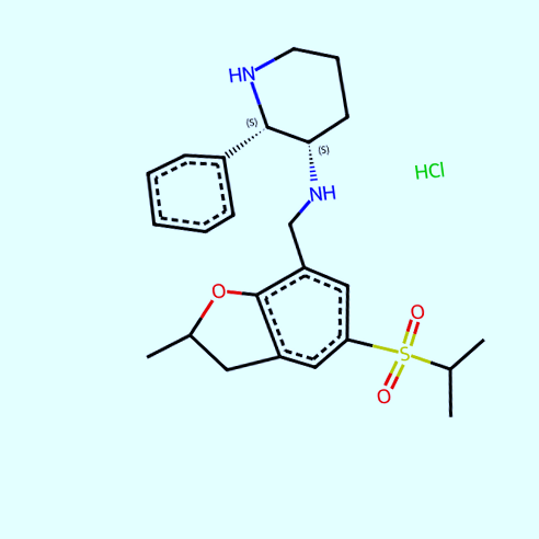 CC1Cc2cc(S(=O)(=O)C(C)C)cc(CN[C@H]3CCCN[C@H]3c3ccccc3)c2O1.Cl